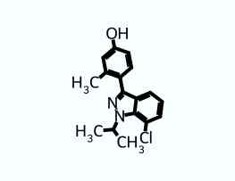 Cc1cc(O)ccc1-c1nn(C(C)C)c2c(Cl)cccc12